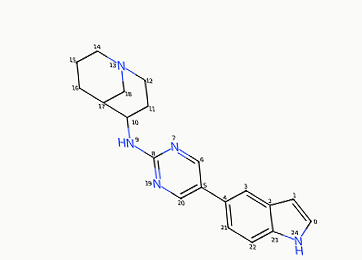 c1cc2cc(-c3cnc(NC4CCN5CCCC4C5)nc3)ccc2[nH]1